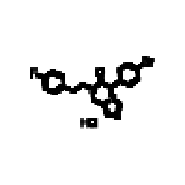 Cl.O=C1C(c2ccc(Br)cc2)n2cncc2CN1CCc1ccc(F)cc1